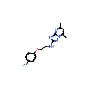 Cc1cc(C)n2nc(NCCOc3ccc(Cl)cc3)nc2n1